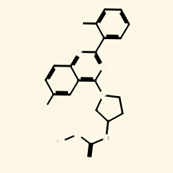 CC(C)OC(=O)NC1CCN(c2nc(-c3ccccc3O)nc3ccc(F)cc23)C1